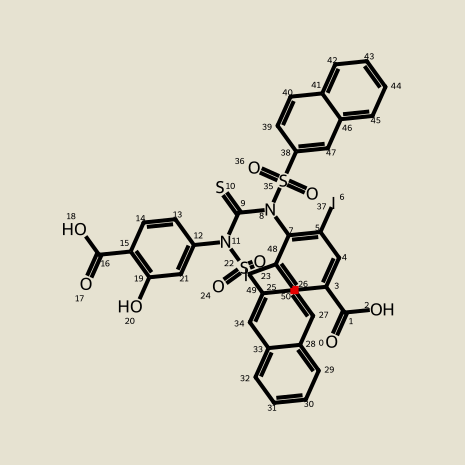 O=C(O)c1cc(I)c(N(C(=S)N(c2ccc(C(=O)O)c(O)c2)S(=O)(=O)c2ccc3ccccc3c2)S(=O)(=O)c2ccc3ccccc3c2)c(I)c1